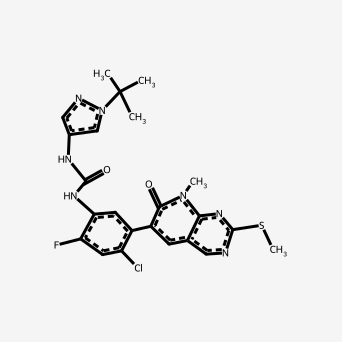 CSc1ncc2cc(-c3cc(NC(=O)Nc4cnn(C(C)(C)C)c4)c(F)cc3Cl)c(=O)n(C)c2n1